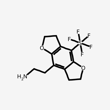 NCCc1c2c(c(S(F)(F)(F)(F)F)c3c1OCC3)OCC2